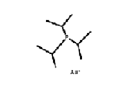 CC(C)P(C(C)C)C(C)C.[Au+]